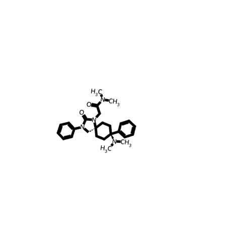 CN(C)C(=O)CN1C(=O)N(c2ccccc2)C[C@]12CC[C@](c1ccccc1)(N(C)C)CC2